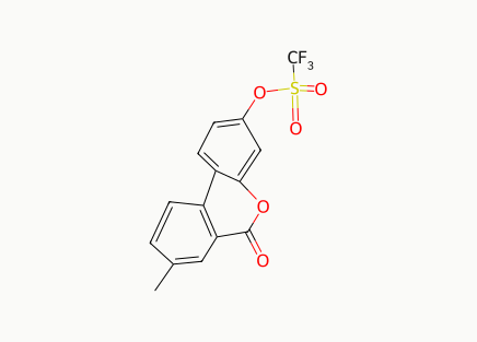 Cc1ccc2c(c1)c(=O)oc1cc(OS(=O)(=O)C(F)(F)F)ccc12